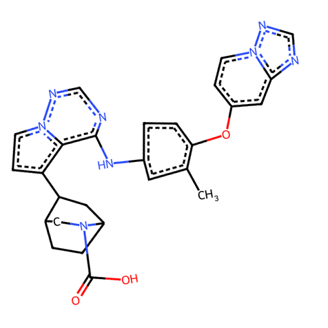 Cc1cc(Nc2ncnn3ccc(C4CC5CCC4CN5C(=O)O)c23)ccc1Oc1ccn2ncnc2c1